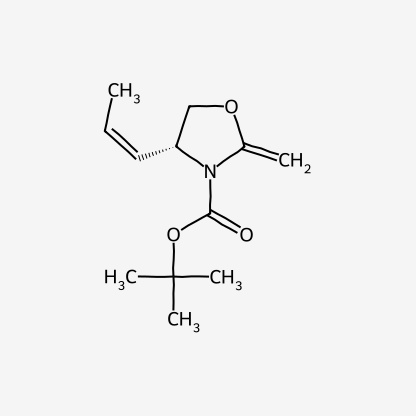 C=C1OC[C@@H](/C=C\C)N1C(=O)OC(C)(C)C